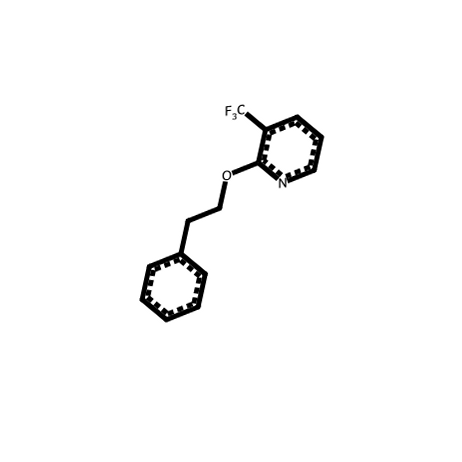 FC(F)(F)c1cccnc1OCCc1ccccc1